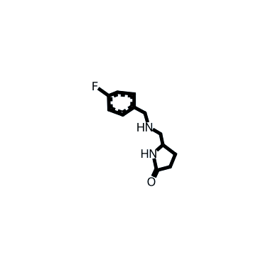 O=C1CCC(CNCc2ccc(F)cc2)N1